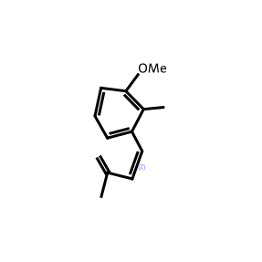 C=C(C)/C=C\c1cccc(OC)c1C